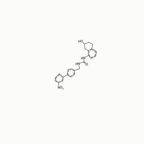 O=C(NCc1ccc(-c2cccc([N+](=O)[O-])c2)cc1)Nc1cccc2c1CC(O)CC2